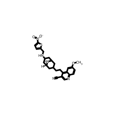 COc1ccc2ncc(C#N)c(CCC3CC4CC(NCc5ccc([N+](=O)[O-])s5)C[C@@H](C3)N4)c2c1